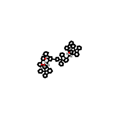 c1ccc(-c2ccccc2-c2nc(-c3cccc4c3C(c3ccccc3)(c3ccccc3)c3ccccc3-4)nc(-c3cc(-c4ccc(C5(c6ccccc6)c6ccccc6-c6c(-c7nc(-c8cccc9c8C(c8ccccc8)(c8ccccc8)c8ccccc8-9)nc(-c8cccc9c8oc8ccccc89)n7)cccc65)cc4)cc4c3oc3ccccc34)n2)cc1